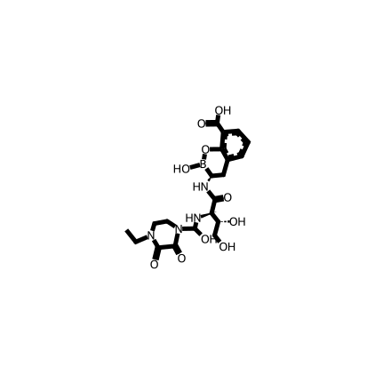 CCN1CCN(C(O)N[C@@H](C(=O)N[C@H]2Cc3cccc(C(=O)O)c3OB2O)[C@H](O)CO)C(=O)C1=O